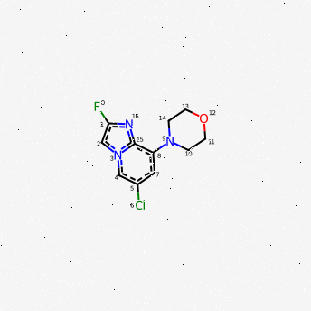 Fc1cn2cc(Cl)cc(N3CCOCC3)c2n1